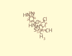 C#CC(C)(c1ccc(Cl)cc1)c1csc(NC(=O)c2ccc3[nH]cnc3c2)n1